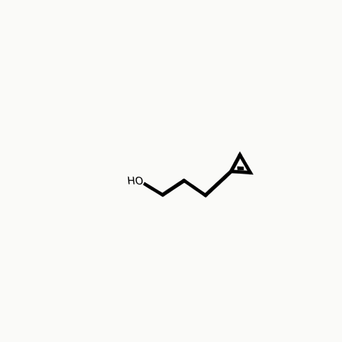 OCCCC1=CC1